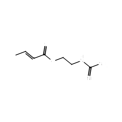 C/C=C/C(=O)OCCNC(=N)N